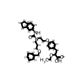 CCOC(Cc1ccc(OCCN(CCCOCc2ccccc2)C(=O)Nc2ccc3c(c2)CCC3)cc1)C(=O)O